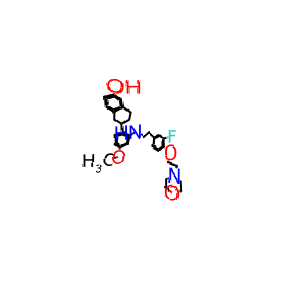 COc1ccc(C2CCc3cc(O)ccc3C2)c(NCCc2ccc(OCCN3CCOCC3)c(F)c2)c1